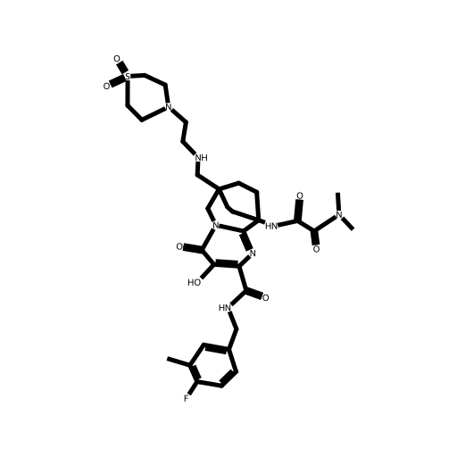 Cc1cc(CNC(=O)c2nc3n(c(=O)c2O)CC2(CNCCN4CCS(=O)(=O)CC4)CCC3(NC(=O)C(=O)N(C)C)CC2)ccc1F